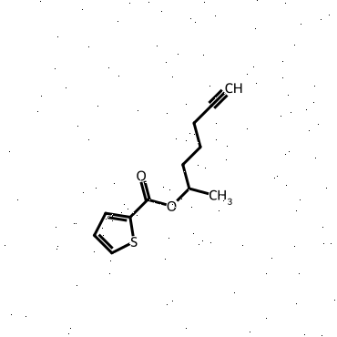 C#CCCCC(C)OC(=O)c1cccs1